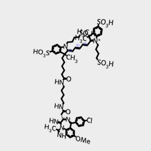 COc1ccc2c(c1)C(c1ccc(Cl)cc1)=N[C@@H](CC(=O)NCCCCCNC(=O)CCCCCC1(C)/C(=C/C=C/C=C/C3=[N+](CCCCS(=O)(=O)O)c4ccc(S(=O)(=O)O)cc4C3(C)C)N(CCCCS(=O)(=O)O)c3ccc(S(=O)(=O)O)cc31)C(=N)N2C(C)=N